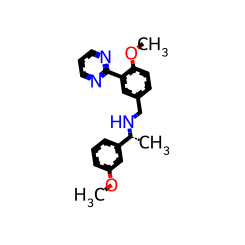 COc1cccc([C@@H](C)NCc2ccc(OC)c(-c3ncccn3)c2)c1